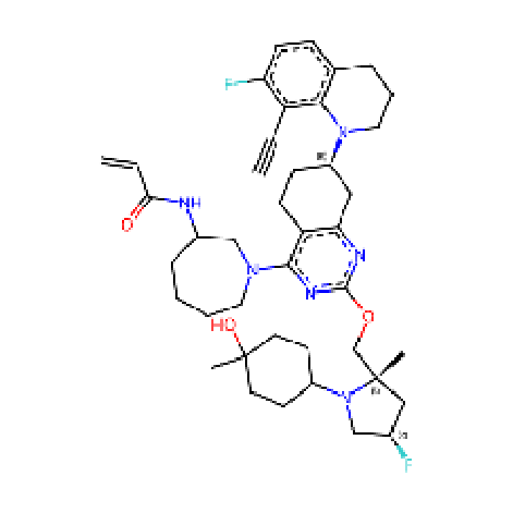 C#Cc1c(F)ccc2c1N([C@@H]1CCc3c(nc(OC[C@]4(C)C[C@@H](F)CN4C4CCC(C)(O)CC4)nc3N3CCCCC(NC(=O)C=C)C3)C1)CCC2